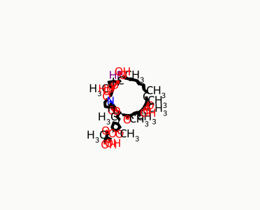 COC1C(=O)[C@H](C)C[C@H](C)/C=C/C=C/C=C(\C)C(OPO)C[C@@H]2CC[C@@H](C)[C@@](O)(O2)C(=O)C(=O)N2CCCC[C@H]2C(=O)O[C@H]([C@H](C)C[C@@H]2CC[C@@H](OC(=O)C(C)(CO)CO)[C@H](OC)C2)CC(=O)[C@H](C)/C=C(\C)[C@H]1O